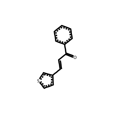 O=C(C=Cc1ccsc1)c1ccccc1